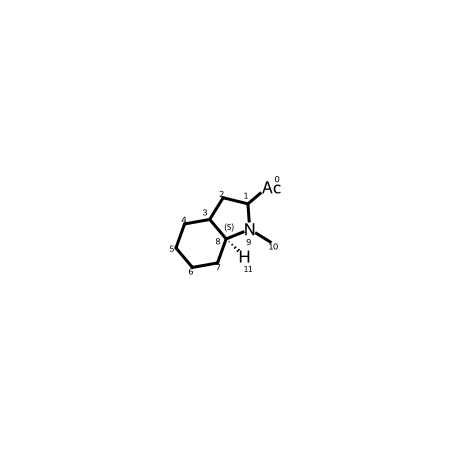 CC(=O)C1CC2CCCC[C@@H]2N1C